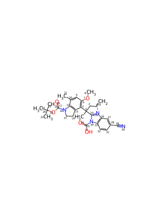 C=CCC(C)(c1c(OC)cc(C)c2c1CCN2C(=O)OC(C)(C)C)c1nc2cc(C#N)ccc2n1C(=O)O